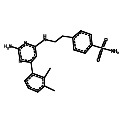 Cc1cccc(-c2cc(NCCc3ccc(S(N)(=O)=O)cc3)nc(N)n2)c1C